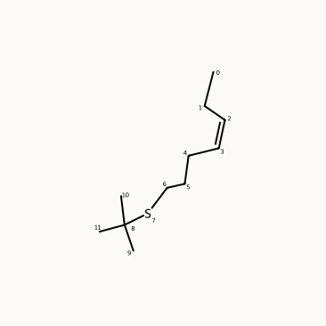 CC/C=C\CCCSC(C)(C)C